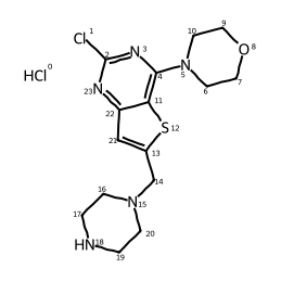 Cl.Clc1nc(N2CCOCC2)c2sc(CN3CCNCC3)cc2n1